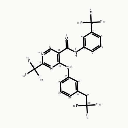 O=C(Nc1cccc(C(F)(F)F)c1)c1cnc(C(F)(F)F)nc1Oc1cccc(CC(F)(F)F)c1